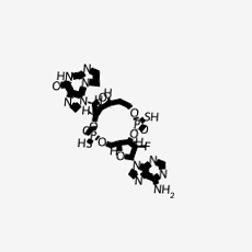 Nc1ncnc2c1ncn2[C@@H]1O[C@@H]2COP(=O)(S)O[C@@H]3[C@H](F)[C@@H](CCOP(=O)(S)O[C@H]2[C@H]1F)O[C@H]3n1cnc2c(=O)[nH]c3nccn3c21